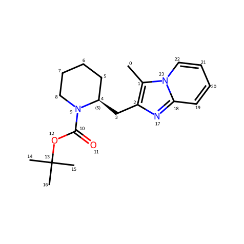 Cc1c(C[C@@H]2CCCCN2C(=O)OC(C)(C)C)nc2ccccn12